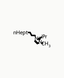 CCCCCCCCCC[n+]1ccn(C)c1C(C)C